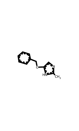 Cc1ncc(OCc2ccccc2)[nH]1